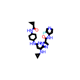 O=C(Nc1ccncc1F)c1cnc2c(NC3CC3)cc(NC3CCC(NC(=O)C4CC4)CC3)nn12